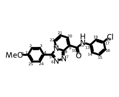 COc1ccc(-c2nnc3c(C(=O)Nc4cccc(Cl)c4)cccn23)cc1